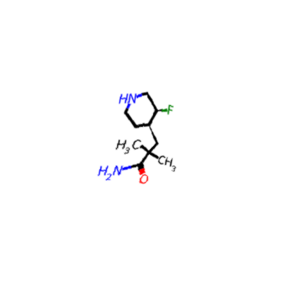 CC(C)(C[C@H]1CCNC[C@H]1F)C(N)=O